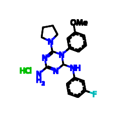 COc1cccc(N2C(N3CCCC3)=NC(N)=NC2Nc2cccc(F)c2)c1.Cl